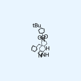 CC(C)(C)c1ccc(S(=O)(=O)N2CC[C@H]3Cc4[nH]ncc4C[C@]3(Cc3ccccc3)C2)cc1